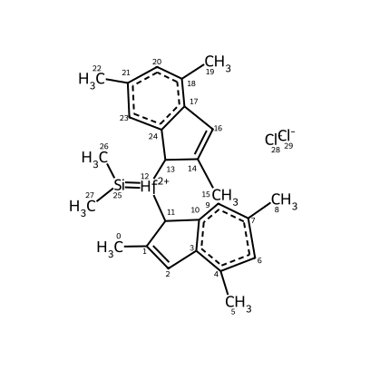 CC1=Cc2c(C)cc(C)cc2[CH]1[Hf+2]([CH]1C(C)=Cc2c(C)cc(C)cc21)=[Si](C)C.[Cl-].[Cl-]